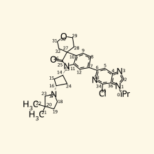 CC(C)n1cnc2cc(-c3ccc4c(c3)N([C@H]3C[C@@H](N5CCC(C)(C)C5)C3)C(=O)C43CCOCC3)nc(Cl)c21